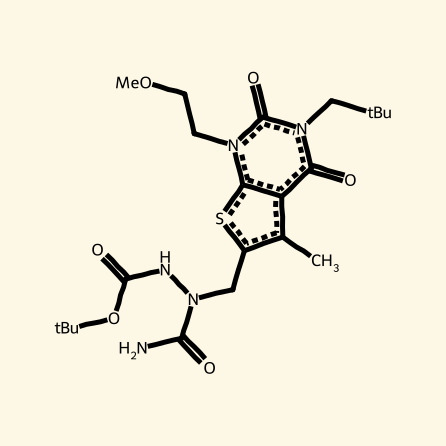 COCCn1c(=O)n(CC(C)(C)C)c(=O)c2c(C)c(CN(NC(=O)OC(C)(C)C)C(N)=O)sc21